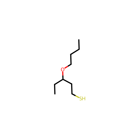 CCCCOC(CC)CCS